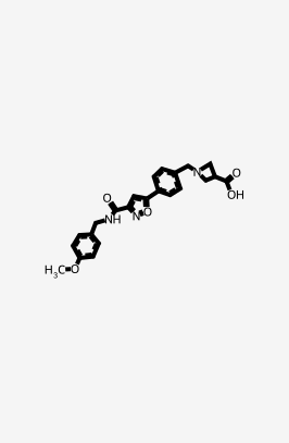 COc1ccc(CNC(=O)c2cc(-c3ccc(CN4CC(C(=O)O)C4)cc3)on2)cc1